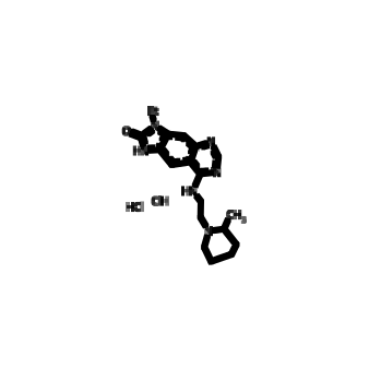 CCn1c(=O)[nH]c2cc3c(NCCN4CCCCC4C)ncnc3cc21.Cl.Cl